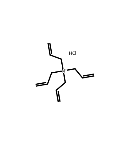 C=CC[N+](CC=C)(CC=C)CC=C.Cl